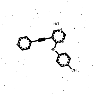 Cl.Oc1ccc(Nc2ncncc2C#Cc2ccccc2)cc1